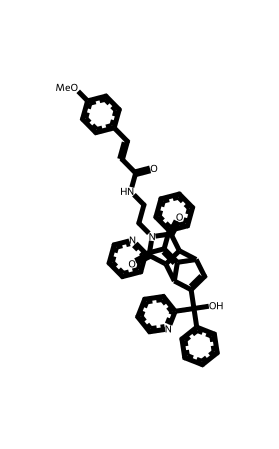 COc1ccc(C=CC(=O)NCCN2C(=O)C3C4C=C(C(O)(c5ccccc5)c5ccccn5)C(C4=C(c4ccccc4)c4ccccn4)C3C2=O)cc1